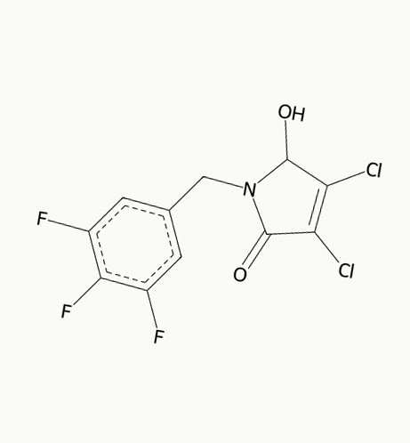 O=C1C(Cl)=C(Cl)C(O)N1Cc1cc(F)c(F)c(F)c1